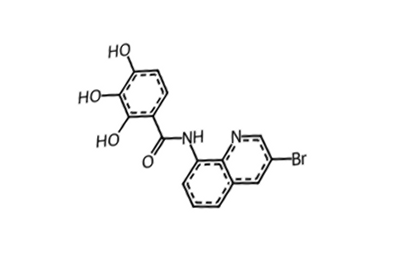 O=C(Nc1cccc2cc(Br)cnc12)c1ccc(O)c(O)c1O